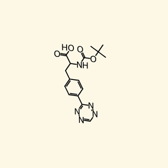 CC(C)(C)OC(=O)NC(Cc1ccc(-c2nncnn2)cc1)C(=O)O